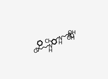 O=P(O)(O)CCCNCc1ccc(NCCCCC2(c3ccccc3)COC2)c(Cl)c1